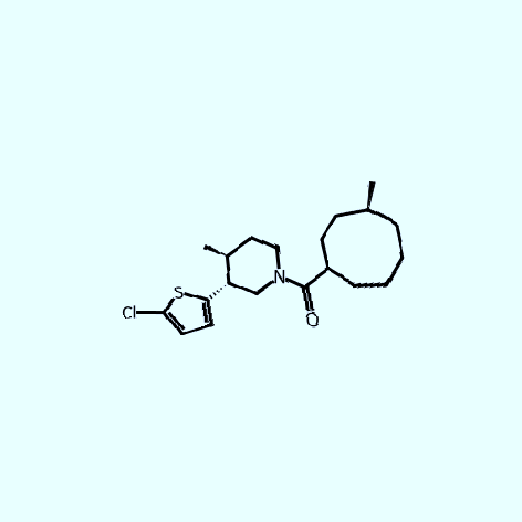 C[C@H]1CCCCC(C(=O)N2CC[C@H](C)[C@@H](c3ccc(Cl)s3)C2)CC1